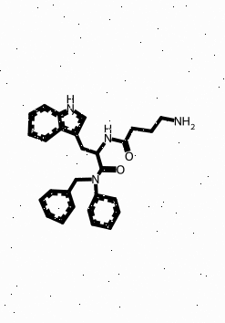 NCCCC(=O)NC(Cc1c[nH]c2ccccc12)C(=O)N(Cc1ccccc1)c1ccccc1